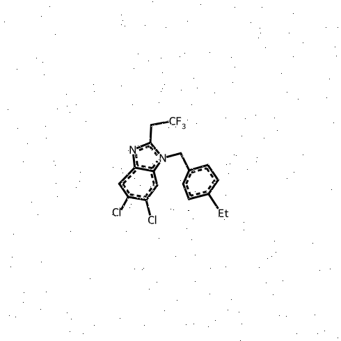 CCc1ccc(Cn2c(CC(F)(F)F)nc3cc(Cl)c(Cl)cc32)cc1